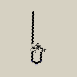 CCCCC/C=C\C/C=C\C/C=C\CCCCC(=O)O[C@H](COCCCCCCCCCCCCCCCCCCCC)COP(=O)([O-])OCC[N+](C)(C)C